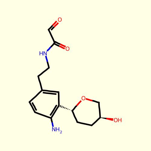 Nc1ccc(CCNC(=O)C=O)cc1[C@H]1CC[C@H](O)CO1